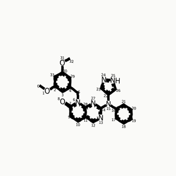 COc1cc(Cn2c(=O)ccc3cnc(N(c4ccccc4)c4cn[nH]c4)nc32)cc(OC)c1